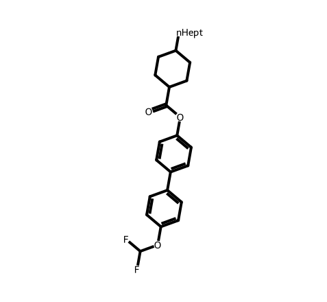 CCCCCCCC1CCC(C(=O)Oc2ccc(-c3ccc(OC(F)F)cc3)cc2)CC1